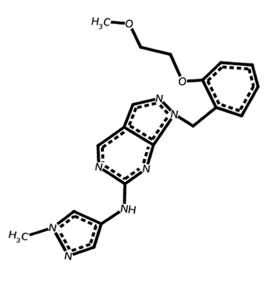 COCCOc1ccccc1Cn1ncc2cnc(Nc3cnn(C)c3)nc21